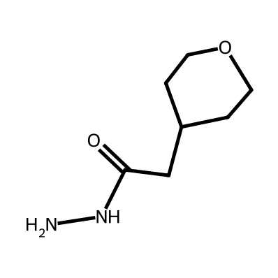 NNC(=O)CC1CCOCC1